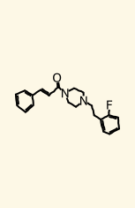 O=C(C=Cc1ccccc1)N1CCN(CCc2ccccc2F)CC1